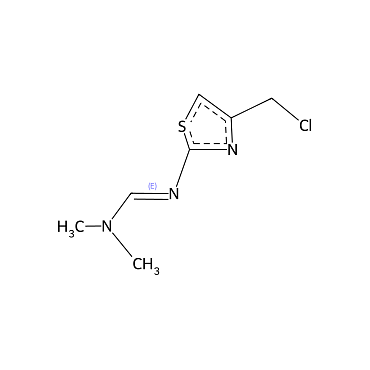 CN(C)/C=N/c1nc(CCl)cs1